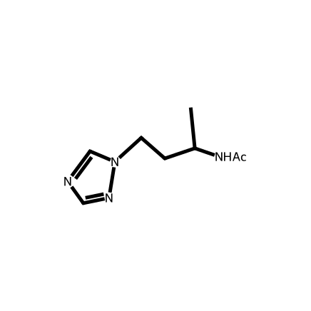 CC(=O)NC(C)CCn1cncn1